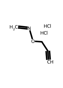 C#CCON=C.Cl.Cl